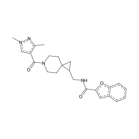 Cc1nn(C)cc1C(=O)N1CCC2(CC1)CC2CNC(=O)c1cc2ccccc2o1